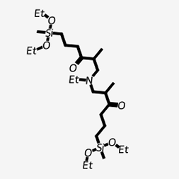 CCO[Si](C)(CCCC(=O)C(C)CN(CC)CC(C)C(=O)CCC[Si](C)(OCC)OCC)OCC